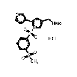 CNCc1cc(-c2ccsc2)n(S(=O)(=O)c2cccc(S(C)(=O)=O)c2)c1.Cl